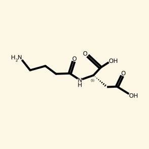 NCCCC(=O)N[C@@H](CC(=O)O)C(=O)O